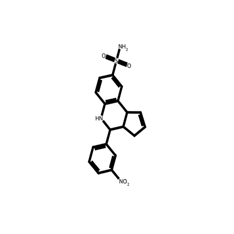 NS(=O)(=O)c1ccc2c(c1)C1C=CCC1C(c1cccc([N+](=O)[O-])c1)N2